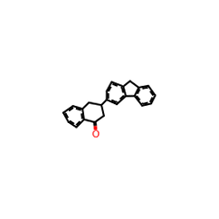 O=C1CC(c2ccc3c(c2)-c2ccccc2C3)Cc2ccccc21